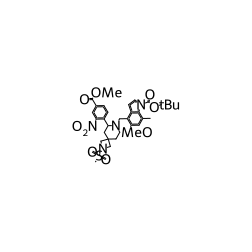 COC(=O)c1ccc(C2CC3(CCN2Cc2c(OC)cc(C)c4c2ccn4C(=O)OC(C)(C)C)CN(S(C)(=O)=O)C3)c([N+](=O)[O-])c1